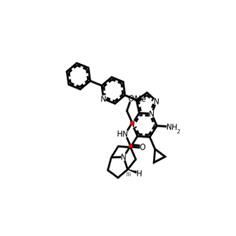 COCCNC(=O)N1C2CC[C@H]1CC(c1nc3c(-c4ccc(-c5ccccc5)nc4)cnn3c(N)c1C1CC1)C2